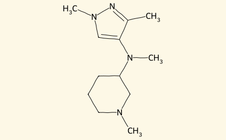 Cc1nn(C)cc1N(C)C1CCCN(C)C1